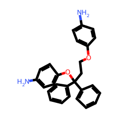 Nc1ccc(OCCC(Oc2ccc(N)cc2)(c2ccccc2)c2ccccc2)cc1